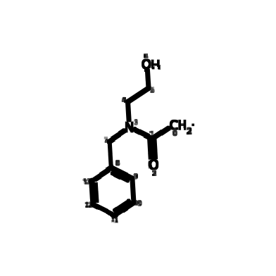 [CH2]C(=O)N(CCO)Cc1ccccc1